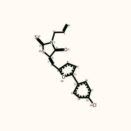 C=CCN1C(=O)/C(=C\c2ccc(-c3ccc(Cl)cc3)o2)SC1=S